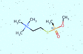 CO[P@](C)(=O)SCC[N+](C)(C)C